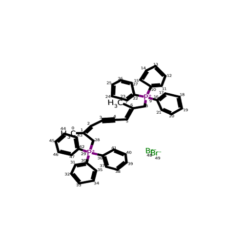 CC(=CC#CC=C(C)C[P+](c1ccccc1)(c1ccccc1)c1ccccc1)C[P+](c1ccccc1)(c1ccccc1)c1ccccc1.[Br-].[Br-]